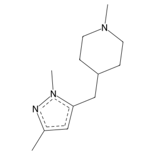 Cc1cc(CC2CCN(C)CC2)n(C)n1